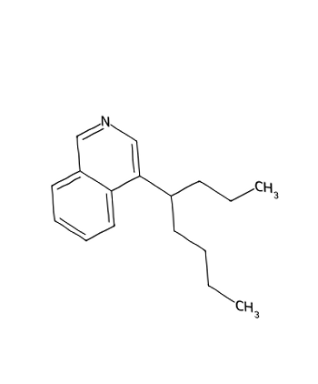 CCCCC(CCC)c1cncc2ccccc12